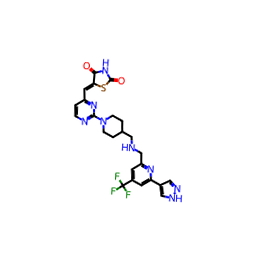 O=C1NC(=O)C(=Cc2ccnc(N3CCC(CNCc4cc(C(F)(F)F)cc(-c5cn[nH]c5)n4)CC3)n2)S1